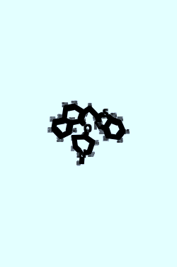 CN1CCC(Oc2c(Cc3nc4ccccc4s3)ccc3ccccc23)CC1